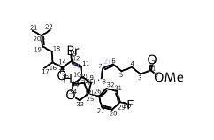 COC(=O)CCC/C=C\C[C@H]1[C@H](/C=C(/Br)C(=O)C(C)CC=C(C)C)[C@@H]2C[C@@]1(c1ccc(F)cc1)CO2